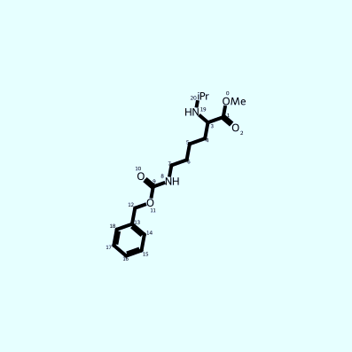 COC(=O)C(CCCCNC(=O)OCc1ccccc1)NC(C)C